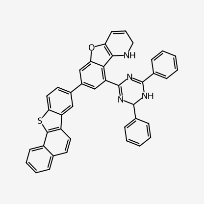 C1=Cc2oc3cc(-c4ccc5sc6c7ccccc7ccc6c5c4)cc(C4=NC(c5ccccc5)NC(c5ccccc5)=N4)c3c2NC1